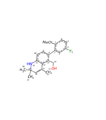 COc1ccc(F)cc1-c1ccc2c(c1CO)C(C)=CC(C)(C)N2